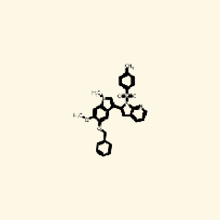 COc1cc2c(cc1OCc1ccccc1)c(-c1cc3cccnc3n1S(=O)(=O)c1ccc(C)cc1)cn2C